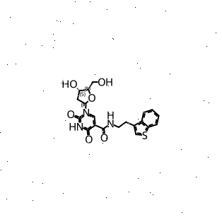 O=C(NCCc1csc2ccccc12)c1cn([C@H]2C[C@H](O)[C@@H](CO)O2)c(=O)[nH]c1=O